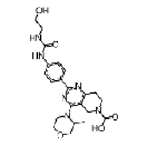 CC1COCCN1c1nc(-c2ccc(NC(=O)NCCO)cc2)nc2c1CN(C(=O)O)CC2